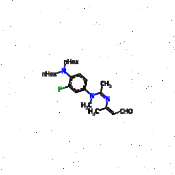 CCCCCCN(CCCCCC)c1ccc(N(C)/C(C)=N\C(C)=C/C=O)cc1F